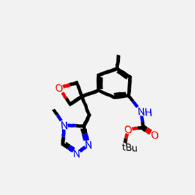 Cc1cc(NC(=O)OC(C)(C)C)cc(C2(Cc3nncn3C)COC2)c1